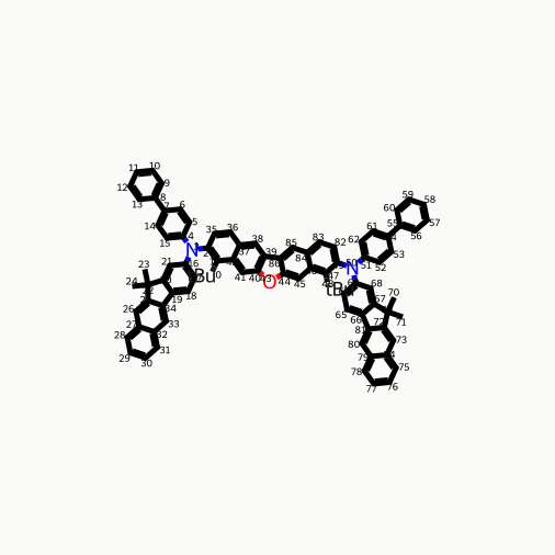 CC(C)(C)c1c(N(c2ccc(-c3ccccc3)cc2)c2ccc3c(c2)C(C)(C)c2cc4ccccc4cc2-3)ccc2cc3c(cc12)oc1cc2c(C(C)(C)C)c(N(c4ccc(-c5ccccc5)cc4)c4ccc5c(c4)C(C)(C)c4cc6ccccc6cc4-5)ccc2cc13